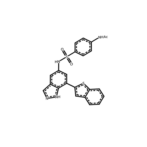 CC(=O)Nc1ccc(S(=O)(=O)Nc2cc(-c3cc4ccccc4s3)c3[nH]ncc3c2)cc1